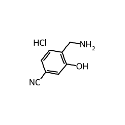 Cl.N#Cc1ccc(CN)c(O)c1